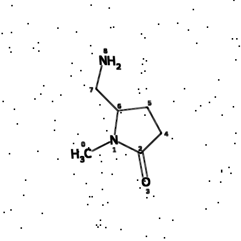 CN1C(=O)CCC1CN